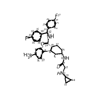 Bc1ccc([C@@H]2C[C@H](NC(=O)CNC3CC3)CC[C@H]2C(=O)NC(c2ccc(F)cc2)c2ccc(F)cc2)cc1